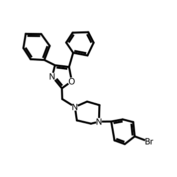 Brc1ccc(N2CCN(Cc3nc(-c4ccccc4)c(-c4ccccc4)o3)CC2)cc1